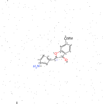 COc1ccc2c(c1)O/C(=C\c1cccc(N)c1)C2=O